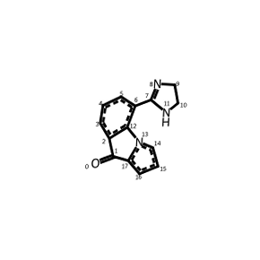 O=C1c2cccc(C3=NCCN3)c2-n2cccc21